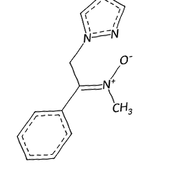 C/[N+]([O-])=C(/Cn1cncn1)c1ccccc1